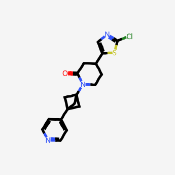 O=C1CC(c2cnc(Cl)s2)CCN1C12CC(c3ccncc3)(C1)C2